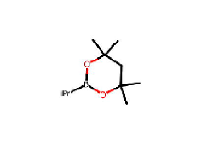 CC(C)B1OC(C)(C)CC(C)(C)O1